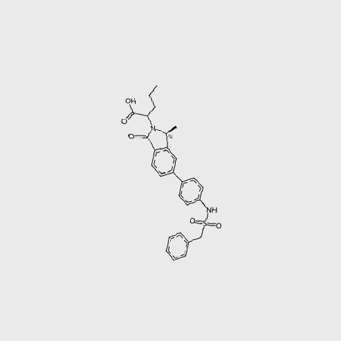 CCCC(C(=O)O)N1C(=O)c2ccc(-c3ccc(NS(=O)(=O)Cc4ccccc4)cc3)cc2[C@@H]1C